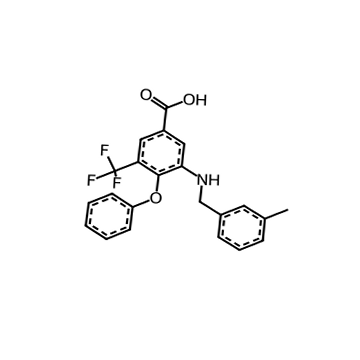 Cc1cccc(CNc2cc(C(=O)O)cc(C(F)(F)F)c2Oc2ccccc2)c1